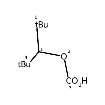 CC(C)(C)C(OC(=O)O)C(C)(C)C